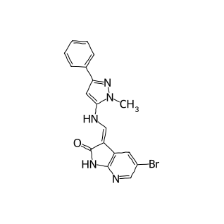 Cn1nc(-c2ccccc2)cc1NC=C1C(=O)Nc2ncc(Br)cc21